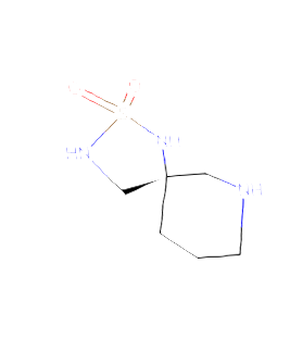 O=S1(=O)NC[C@@]2(CCCNC2)N1